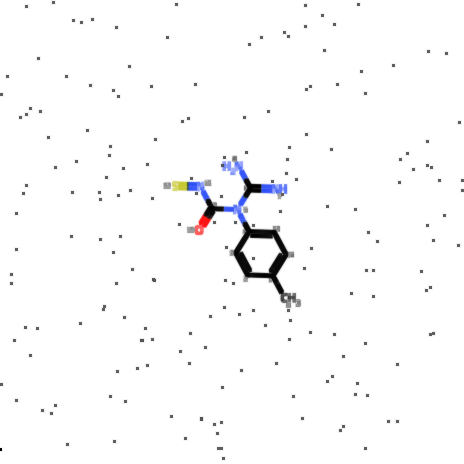 Cc1ccc(N(C(=N)N)C(=O)N=S)cc1